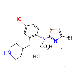 CCc1csc(N(C(=O)O)c2ccc(O)cc2CC2CCNCC2)n1.Cl